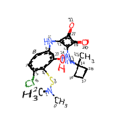 CN(C)Sc1c(Cl)ccc(Nc2c(NC3(C)CCC3)c(=O)c2=O)c1O